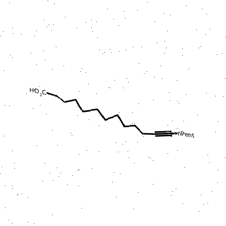 CCCCCC#CCCCCCCCCCCC(=O)O